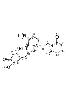 Nc1ncn(CCN2C(=O)CCCC2=O)c2nc(Sc3cc4c(cc3Br)OCO4)nc1-2